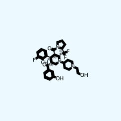 Cc1c(F)cccc1[C@@H]1[C@@H](C(=O)c2cccc(O)c2)CN(C2CCN(CCO)CC2)C[C@@H]1C(=O)N1CCC[C@H]1C(F)(F)F